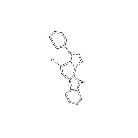 Clc1cc2c3ccccc3[nH]c2c2ccn(-c3ccccc3)c12